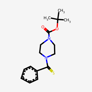 CC(C)(C)OC(=O)N1CCN(C(=S)c2ccccc2)CC1